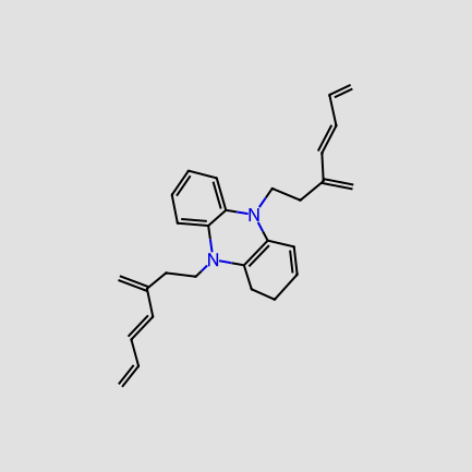 C=CC=CC(=C)CCN1C2=C(CCC=C2)N(CCC(=C)C=CC=C)c2ccccc21